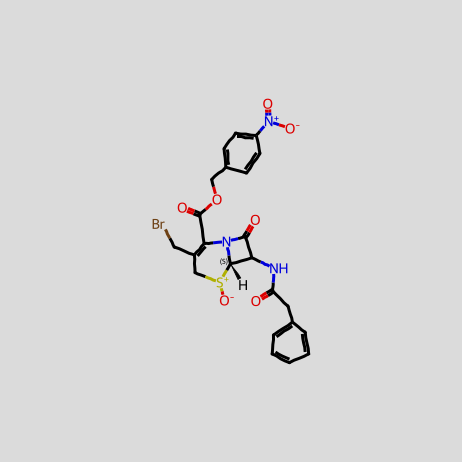 O=C(Cc1ccccc1)NC1C(=O)N2C(C(=O)OCc3ccc([N+](=O)[O-])cc3)=C(CBr)C[S+]([O-])[C@@H]12